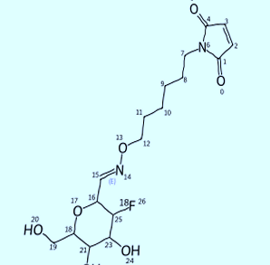 O=C1C=CC(=O)N1CCCCCCO/N=C/C1OC(CO)C(O)C(O)C1[18F]